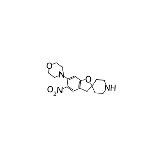 O=[N+]([O-])c1cc2c(cc1N1CCOCC1)OC1(CCNCC1)C2